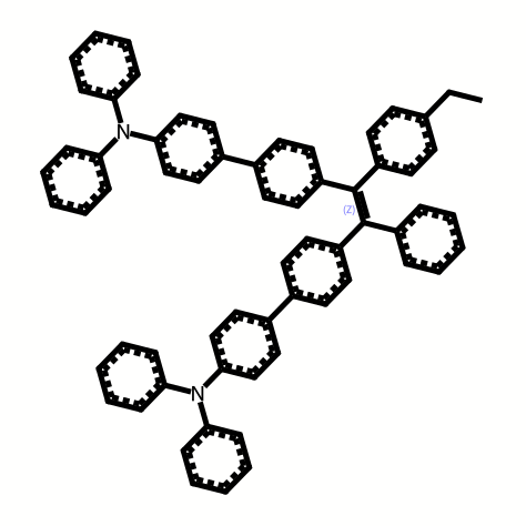 CCc1ccc(/C(=C(\c2ccccc2)c2ccc(-c3ccc(N(c4ccccc4)c4ccccc4)cc3)cc2)c2ccc(-c3ccc(N(c4ccccc4)c4ccccc4)cc3)cc2)cc1